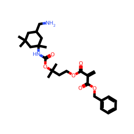 C=C(C(=O)OCCC(C)(C)OC(=O)NC1(C)CC(CN)CC(C)(C)C1)C(=O)OCc1ccccc1